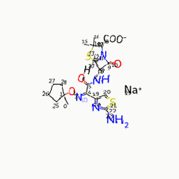 CC1(O/N=C(\C(=O)N[C@H]2C(=O)N3[C@@H]2SC(C)(C)[C@@H]3C(=O)[O-])c2csc(N)n2)CCCC1.[Na+]